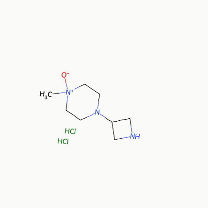 C[N+]1([O-])CCN(C2CNC2)CC1.Cl.Cl